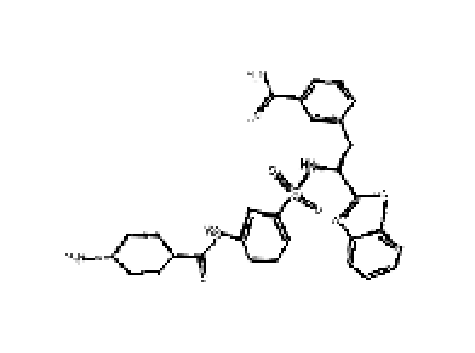 N=C(N)c1cccc(CC(NS(=O)(=O)c2cccc(NC(=O)C3CCC(N)CC3)c2)c2nc3ccccc3s2)c1